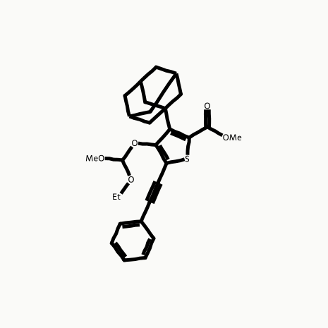 CCOC(OC)Oc1c(C#Cc2ccccc2)sc(C(=O)OC)c1C12CC3CC(CC(C3)C1)C2